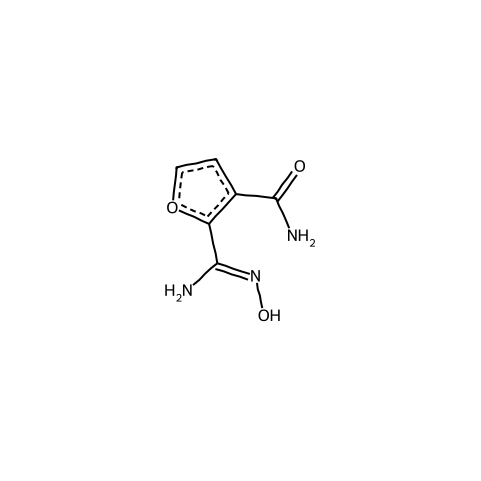 NC(=O)c1ccoc1C(N)=NO